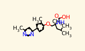 Cc1cc(-c2ccc(OCC(C)(CC(C)C)NC(=O)O)c(C)c2)ncn1